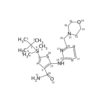 CC(C)(C)[Si](C)(C)c1cc(C(N)=O)c(Nc2cccc(CN3CCOCC3)n2)s1